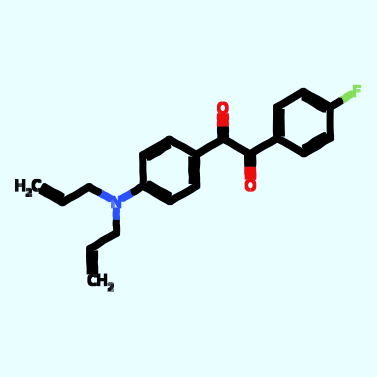 C=CCN(CC=C)c1ccc(C(=O)C(=O)c2ccc(F)cc2)cc1